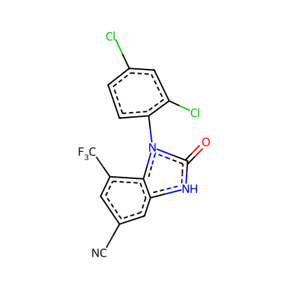 N#Cc1cc(C(F)(F)F)c2c(c1)[nH]c(=O)n2-c1ccc(Cl)cc1Cl